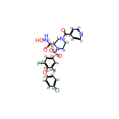 O=C(NO)[C@H]1CN(C(=O)c2ccncc2)CCN1S(=O)(=O)c1cc(F)c(Oc2ccc(Cl)cc2)c(F)c1